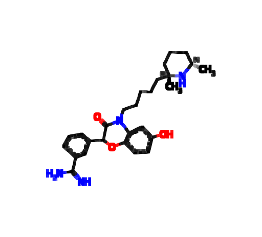 C[C@H]1CCC[C@@](C)(CCCCCN2C(=O)C(c3cccc(C(=N)N)c3)Oc3ccc(O)cc32)N1